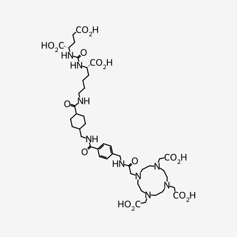 O=C(O)CC[C@H](NC(=O)N[C@@H](CCCCNC(=O)C1CCC(CNC(=O)c2ccc(CNC(=O)CN3CCN(CC(=O)O)CCN(CC(=O)O)CCN(CC(=O)O)CC3)cc2)CC1)C(=O)O)C(=O)O